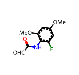 COc1cc(F)c(NC(=O)C=O)c(OC)c1